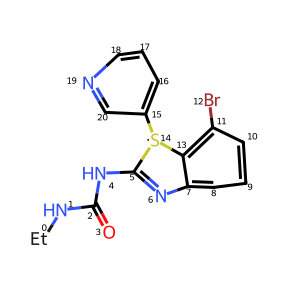 CCNC(=O)NC1=Nc2cccc(Br)c2[S]1c1cccnc1